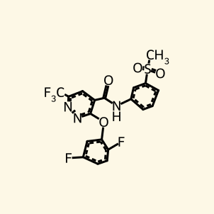 CS(=O)(=O)c1cccc(NC(=O)c2cc(C(F)(F)F)nnc2Oc2cc(F)ccc2F)c1